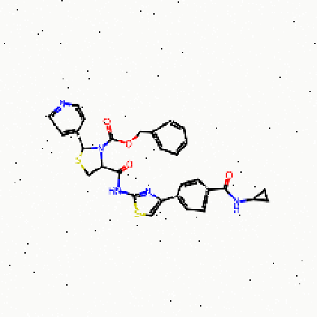 O=C(NC1CC1)c1ccc(-c2csc(NC(=O)C3CSC(c4ccncc4)N3C(=O)OCc3ccccc3)n2)cc1